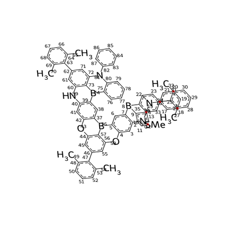 CSN1c2cc3c(cc2B2c4ccccc4N(c4ccccc4)c4cc(-c5c(C)cccc5C)cc1c42)B1c2cc4c(cc2Oc2cc(-c5c(C)cccc5C)cc(c21)O3)Nc1cc(-c2c(C)cccc2C)cc2c1B4c1ccccc1N2c1ccccc1